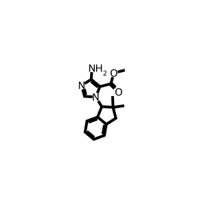 COC(=O)c1c(N)ncn1C1c2ccccc2CC1(C)C